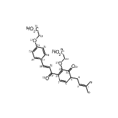 CC(C)=CCC1C=CC(C(=O)C=Cc2ccc(OCC(=O)O)cc2)=C(OCC(=O)O)C1=O